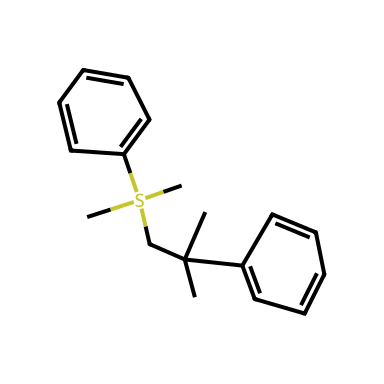 CC(C)(CS(C)(C)c1ccccc1)c1ccccc1